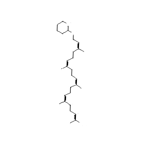 CC(=CCCC(C)=CCCC(C)=CCOC1CCCCO1)CCC=C(C)CCC=C(C)C(=O)O